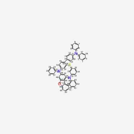 c1ccc(N(c2ccccc2)c2ccc3c(c2)sc2cc(N(c4ccccc4)c4cc(N(c5ccccc5)c5ccccc5)c5c(c4)oc4ccccc45)ccc23)cc1